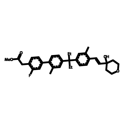 CCC(CC)(c1ccc(C=CC2(O)CCOCC2)c(C)c1)c1ccc(-c2ccc(CC(=O)OC)c(F)c2)c(C)c1